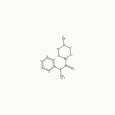 CCC1CCN(C(=O)C(c2ccccc2)C(F)(F)F)CC1